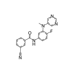 CN(c1cncnc1)c1cc(NC(=O)c2cccc(C#N)c2)ccc1F